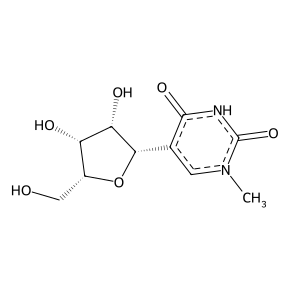 Cn1cc([C@@H]2O[C@H](CO)[C@H](O)[C@@H]2O)c(=O)[nH]c1=O